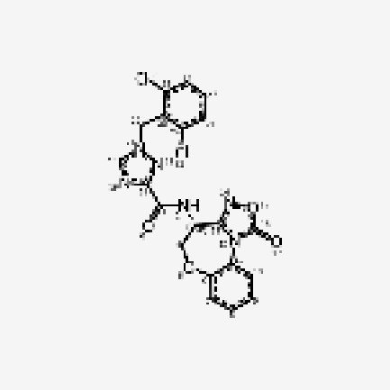 O=C(N[C@H]1COc2ccccc2-n2c1noc2=O)c1ncn(Cc2c(Cl)cccc2Cl)n1